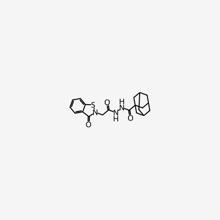 O=C(Cn1sc2ccccc2c1=O)NNC(=O)C12CC3CC(CC(C3)C1)C2